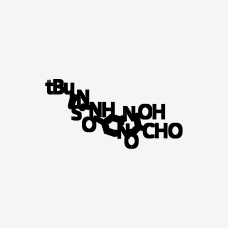 CC(C)(C)c1csc(NC(=O)c2ccn3c(=O)c(C=O)c(O)nc3c2)n1